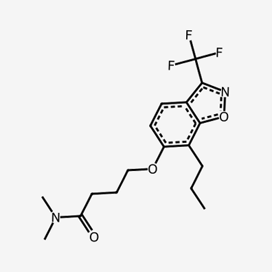 CCCc1c(OCCCC(=O)N(C)C)ccc2c(C(F)(F)F)noc12